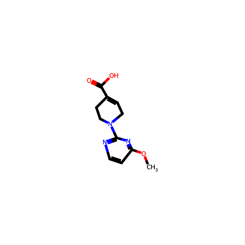 COc1ccnc(N2CC=C(C(=O)O)CC2)n1